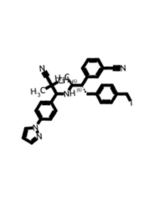 C[C@H](NC(c1ccc(-n2cccn2)cc1)C(C)(C)C#N)[C@@H](Cc1ccc(CI)cc1)c1cccc(C#N)c1